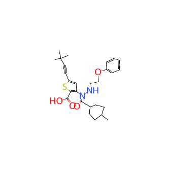 CC1CCC(C(=O)N(NCCOc2ccccc2)c2cc(C#CC(C)(C)C)sc2C(=O)O)CC1